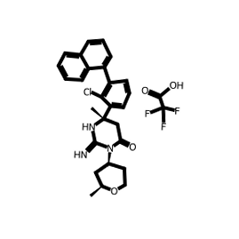 C[C@H]1C[C@@H](N2C(=N)N[C@](C)(c3cccc(-c4cccc5ccccc45)c3Cl)CC2=O)CCO1.O=C(O)C(F)(F)F